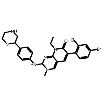 CCn1c(=O)c(-c2ccc(Br)cc2Cl)cc2c1=NC(Nc1ccc(C3CNCCS3)cc1)N(C)C=2